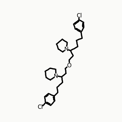 Clc1ccc(CCCC(CCOCCC(CCCc2ccc(Cl)cc2)N2CCCCC2)N2CCCCC2)cc1